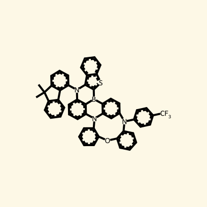 CC1(C)c2ccccc2-c2c(N3c4cccc5c4B(c4ccc6cc4N5c4ccccc4Oc4ccccc4N6c4ccc(C(F)(F)F)cc4)c4sc5ccccc5c43)cccc21